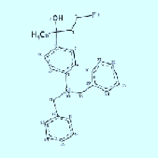 CC(O)(CCF)c1ccc(N(Cc2ccccc2)Cc2ccccc2)cc1